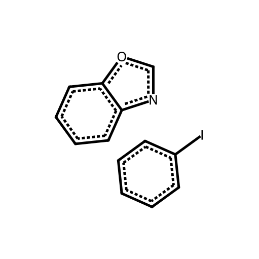 Ic1ccccc1.c1ccc2ocnc2c1